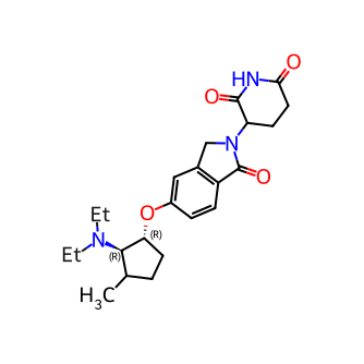 CCN(CC)[C@@H]1C(C)CC[C@H]1Oc1ccc2c(c1)CN(C1CCC(=O)NC1=O)C2=O